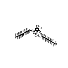 CC(=O)Oc1c(CSCCC(F)(F)C(F)(F)C(F)(F)C(F)(F)C(F)(F)C(F)(F)C(F)(F)C(F)(F)F)cc(C)cc1CSCCC(F)(F)C(F)(F)C(F)(F)C(F)(F)C(F)(F)C(F)(F)C(F)(F)C(F)(F)F